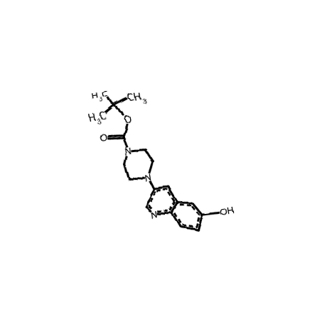 CC(C)(C)OC(=O)N1CCN(c2cnc3ccc(O)cc3c2)CC1